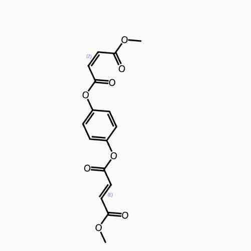 COC(=O)/C=C\C(=O)Oc1ccc(OC(=O)/C=C/C(=O)OC)cc1